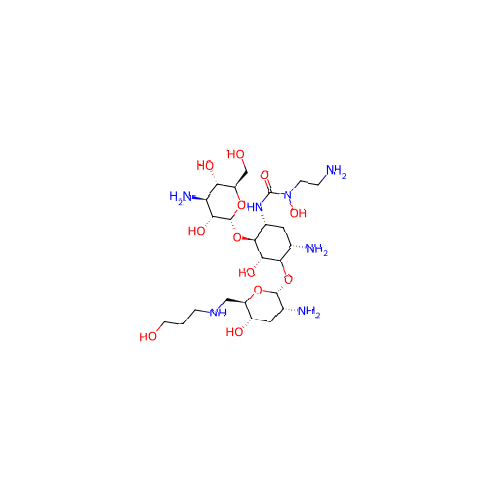 NCCN(O)C(=O)N[C@@H]1C[C@H](N)C(O[C@H]2O[C@H](CNCCCO)[C@@H](O)C[C@H]2N)[C@H](O)[C@H]1O[C@H]1O[C@H](CO)[C@@H](O)[C@H](N)[C@H]1O